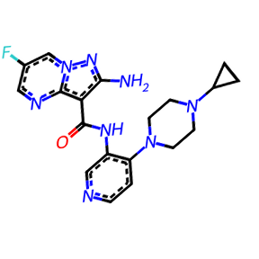 Nc1nn2cc(F)cnc2c1C(=O)Nc1cnccc1N1CCN(C2CC2)CC1